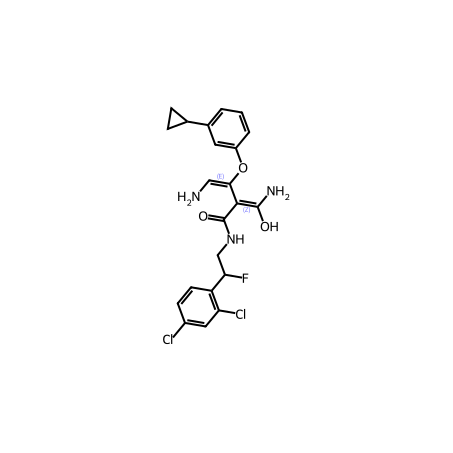 N/C=C(Oc1cccc(C2CC2)c1)\C(C(=O)NCC(F)c1ccc(Cl)cc1Cl)=C(/N)O